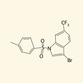 Cc1ccc(S(=O)(=O)n2cc(Br)c3ccc(C(F)(F)F)cc32)cc1